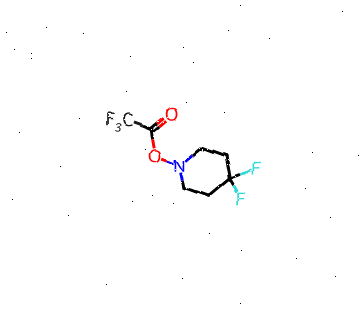 O=C(ON1CCC(F)(F)CC1)C(F)(F)F